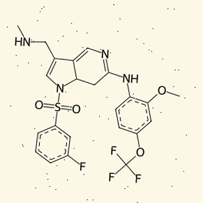 CNCC1=CN(S(=O)(=O)c2cccc(F)c2)C2CC(Nc3ccc(OC(F)(F)F)cc3OC)=NC=C12